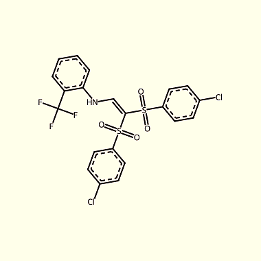 O=S(=O)(C(=CNc1ccccc1C(F)(F)F)S(=O)(=O)c1ccc(Cl)cc1)c1ccc(Cl)cc1